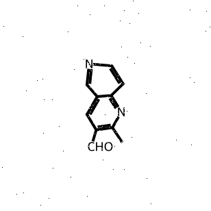 Cc1nc2ccncc2cc1[C]=O